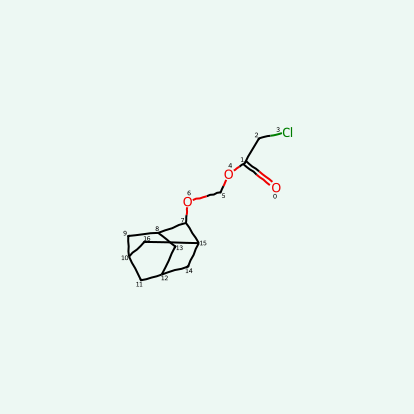 O=C(CCl)OCOC1C2CC3CC(C2)CC1C3